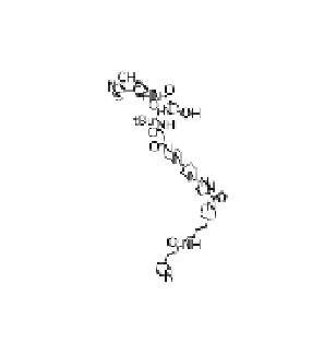 Cc1ncsc1-c1ccc(CNC(=O)[C@@H]2C[C@@H](O)CN2C(=O)[C@@H](NC(=O)CC(=O)N2CCN(C3CCN(c4ccc(C(=O)N5CCC(CCCCNC(=O)/C=C/c6cccnc6)CC5)nn4)CC3)CC2)C(C)(C)C)cc1